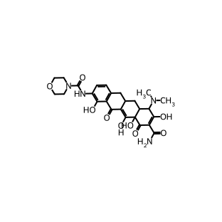 CN(C)C1C(O)=C(C(N)=O)C(=O)C2(O)C(O)=C3C(=O)c4c(ccc(NC(=O)N5CCOCC5)c4O)CC3CC12